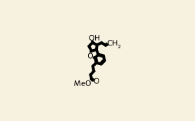 C=CCC1C(O)CC2Oc3c(CCCC(=O)OC)cccc3C21